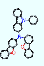 c1ccc(-n2c3ccccc3c3ccc(N(c4ccc5c(c4)oc4ccccc45)c4cccc5c4oc4ccccc45)cc32)cc1